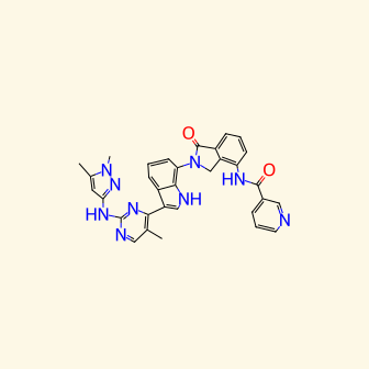 Cc1cnc(Nc2cc(C)n(C)n2)nc1-c1c[nH]c2c(N3Cc4c(NC(=O)c5cccnc5)cccc4C3=O)cccc12